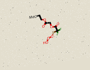 COCCOC(=O)COC(=O)C(F)(F)SOOO